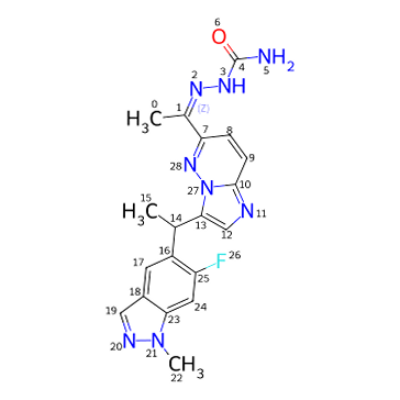 C/C(=N/NC(N)=O)c1ccc2ncc(C(C)c3cc4cnn(C)c4cc3F)n2n1